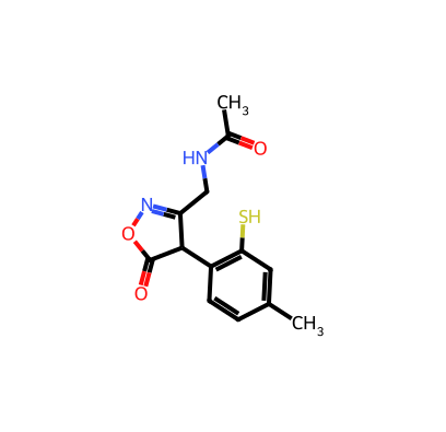 CC(=O)NCC1=NOC(=O)C1c1ccc(C)cc1S